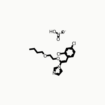 CCCCOCCOC(=Cc1ccc(Cl)cc1Cl)n1ccnc1.O=[N+]([O-])O